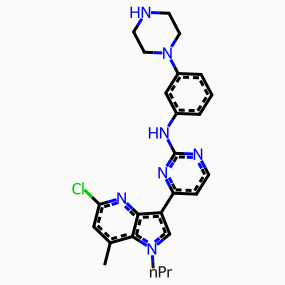 CCCn1cc(-c2ccnc(Nc3cccc(N4CCNCC4)c3)n2)c2nc(Cl)cc(C)c21